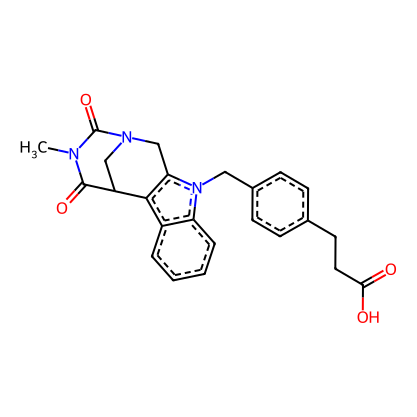 CN1C(=O)C2CN(Cc3c2c2ccccc2n3Cc2ccc(CCC(=O)O)cc2)C1=O